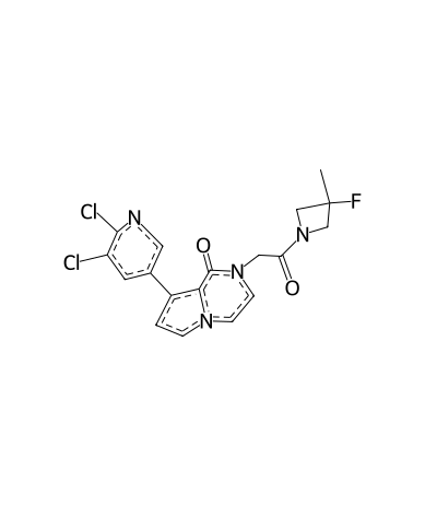 CC1(F)CN(C(=O)Cn2ccn3ccc(-c4cnc(Cl)c(Cl)c4)c3c2=O)C1